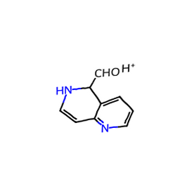 O=CC1NC=Cc2ncccc21.[H+]